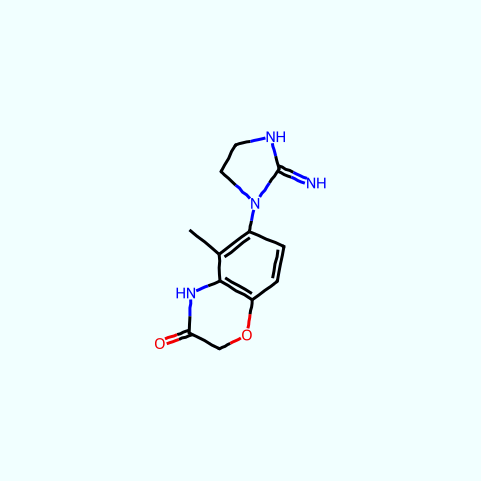 Cc1c(N2CCNC2=N)ccc2c1NC(=O)CO2